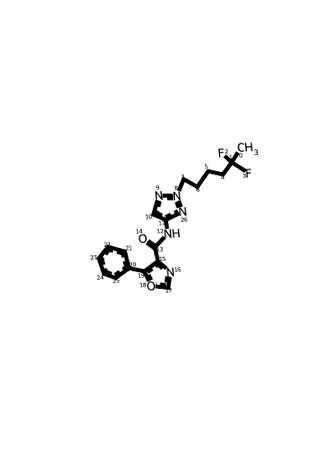 CC(F)(F)CCCCn1ncc(NC(=O)c2ncoc2-c2ccccc2)n1